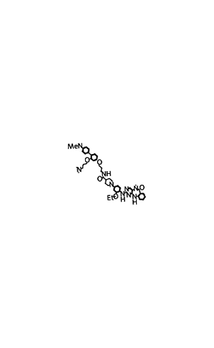 CCOc1cc(N2CCC(C(=O)NCCCOc3ccc(-c4ccc(NC)cc4)c(OCCCN(C)C)c3)CC2)ccc1Nc1ncc2c(n1)Nc1ccccc1C(=O)N2C